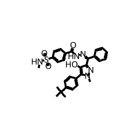 CNS(=O)(=O)c1ccc(C(=O)N/N=C(/c2ccccc2)c2nn(C)c(-c3ccc(C(C)(C)C)cc3)c2O)cc1